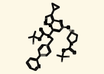 CC(C)(C)OC(=O)N1CC[C@@H](Oc2cc(N(Cc3ccc(-c4ccccn4)cc3)C(=O)OC(C)(C)C)n3ncc(C4CC4)c3n2)C1